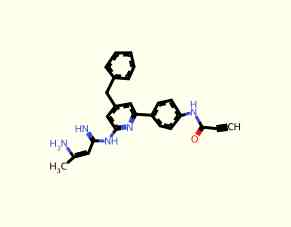 C#CC(=O)Nc1ccc(-c2cc(Cc3ccccc3)cc(NC(=N)/C=C(/C)N)n2)cc1